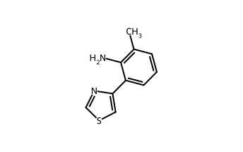 Cc1cccc(-c2cscn2)c1N